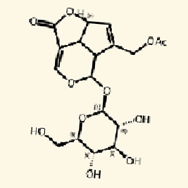 CC(=O)OCC1=C[C@@H]2OC(=O)C3=COC(O[C@@H]4O[C@H](CO)[C@@H](O)[C@H](O)[C@H]4O)C1C32